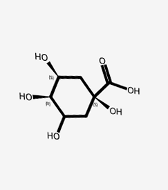 O=C(O)[C@]1(O)CC(O)[C@@H](O)[C@@H](O)C1